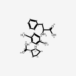 NC(Cc1ccccc1)C(=O)O.Nc1ccc(N)cc1.O=C(O)[C@@H]1CCCN1